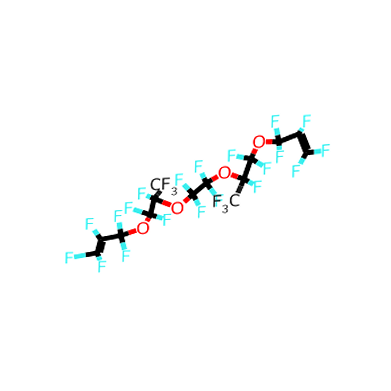 FC(F)=C(F)C(F)(F)OC(F)(F)C(F)(OC(F)(F)C(F)(F)OC(F)(C(F)(F)F)C(F)(F)OC(F)(F)C(F)=C(F)F)C(F)(F)F